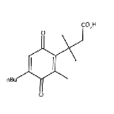 CCCCC1=CC(=O)C(C(C)(C)CC(=O)O)=C(C)C1=O